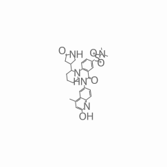 Cc1cc(O)nc2ccc(NC(=O)c3cc(S(=O)(=O)N(C)C)ccc3N3CCCCC3C3CNC(=O)C3)cc12